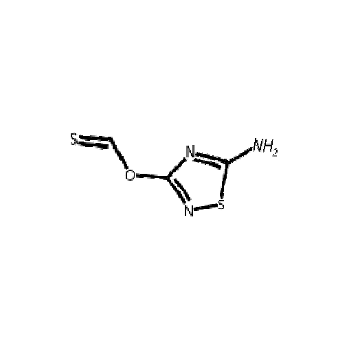 Nc1nc(OC=S)ns1